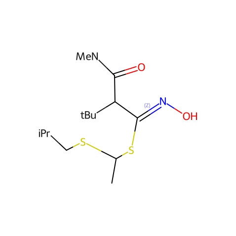 CNC(=O)C(/C(=N/O)SC(C)SCC(C)C)C(C)(C)C